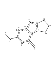 CSc1nc(=O)c2c3c(sc2[nH]1)CCC3